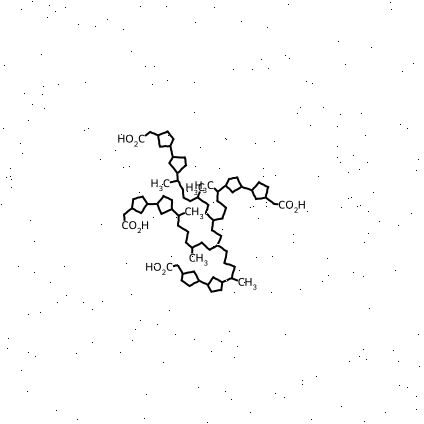 CC(CCCC(C)C1CCC(C2CCC(CC(=O)O)C2)C1)CCC(CCCC(C)C1CCC(C2CCC(CC(=O)O)C2)C1)CCC(CCCC(C)C1CCC(C2CCC(CC(=O)O)C2)C1)CCC(C)CCCC(C)C1CCC(C2CCC(CC(=O)O)C2)C1